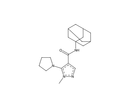 Cn1ncc(C(=O)NC23CC4CC(CC(C4)C2)C3)c1N1CCCC1